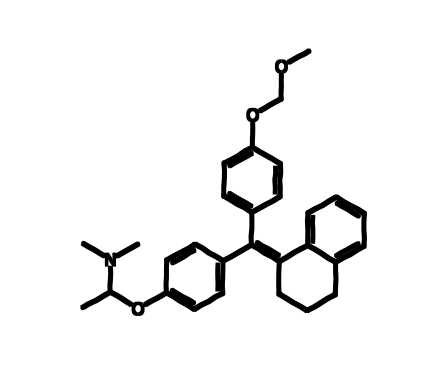 COCOc1ccc(C(=C2CCCc3ccccc32)c2ccc(OC(C)N(C)C)cc2)cc1